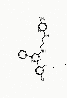 Nc1ccc(NCCCNc2cc(-c3ccccc3)nc(-c3ccc(Cl)cc3Cl)n2)nc1